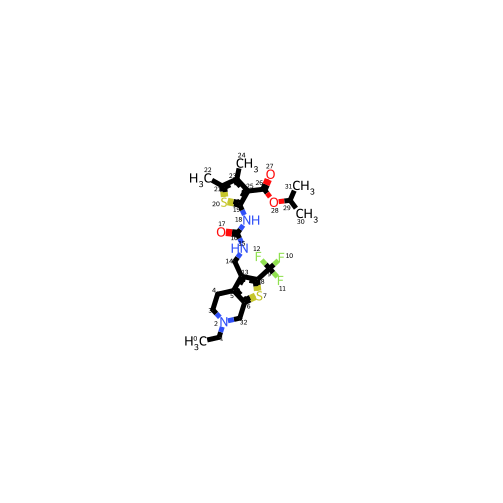 CCN1CCc2c(sc(C(F)(F)F)c2CNC(=O)Nc2sc(C)c(C)c2C(=O)OC(C)C)C1